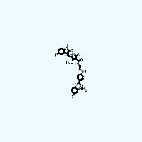 Cc1[nH]c(/C=C2\C(=O)Nc3ccc(F)cc32)c(C)c1C(=O)NCCNc1ccc(C(=O)Nc2ccc(Cl)cc2N)cn1